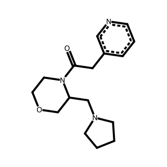 O=C(Cc1cccnc1)N1CCOCC1CN1CCCC1